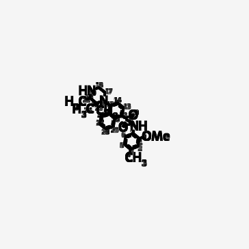 COc1cc(C)ccc1NS(=O)(=O)c1ccc(N2CCNC(C)C2(C)C)c2ccccc12